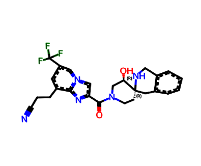 N#CCCc1cc(C(F)(F)F)cn2cc(C(=O)N3CC[C@]4(Cc5ccccc5CN4)[C@H](O)C3)nc12